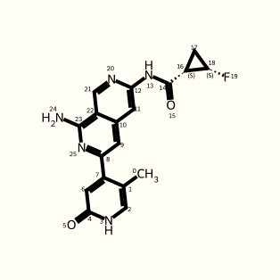 Cc1c[nH]c(=O)cc1-c1cc2cc(NC(=O)[C@@H]3C[C@@H]3F)ncc2c(N)n1